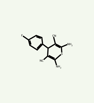 N#CC1=C(N)SC(N)=C(C#N)C1c1ccc(F)cc1